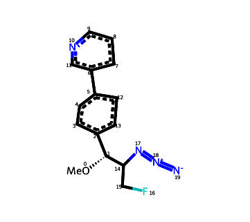 CO[C@H](c1ccc(-c2cccnc2)cc1)C(CF)N=[N+]=[N-]